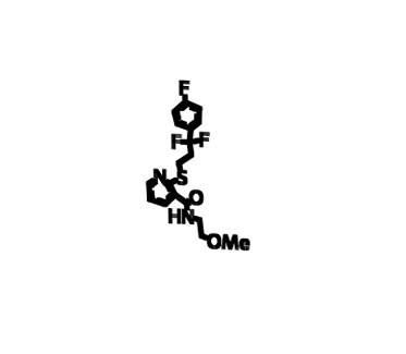 COCCNC(=O)c1cccnc1SCCC(F)(F)c1ccc(F)cc1